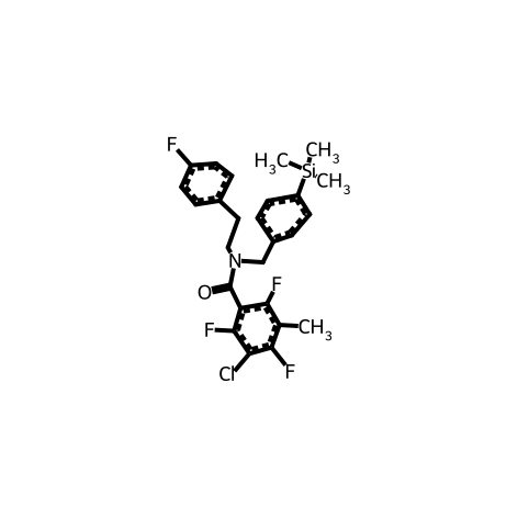 Cc1c(F)c(Cl)c(F)c(C(=O)N(CCc2ccc(F)cc2)Cc2ccc([Si](C)(C)C)cc2)c1F